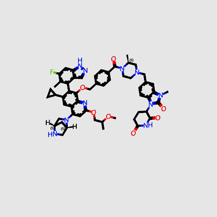 COC(C)COc1cc(N2C[C@@H]3C[C@H]2CN3)c2cc(C3CC3)c(-c3c(C)c(F)cc4[nH]ncc34)c(OCc3ccc(C(=O)N4CCN(Cc5ccc6c(c5)n(C)c(=O)n6C5CCC(=O)NC5=O)C[C@@H]4C)cc3)c2n1